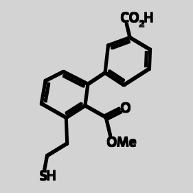 COC(=O)c1c(CCS)cccc1-c1cccc(C(=O)O)c1